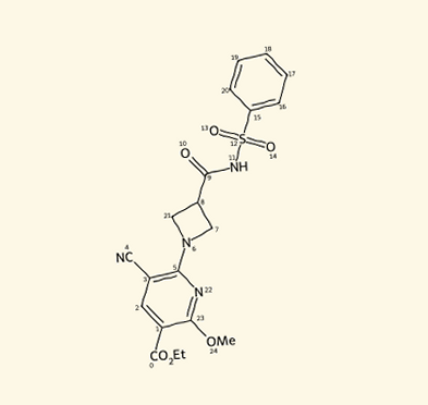 CCOC(=O)c1cc(C#N)c(N2CC(C(=O)NS(=O)(=O)c3ccccc3)C2)nc1OC